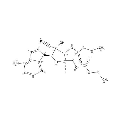 C#C[C@]1(O)[C@H](n2cnc3c(N)ncnc32)O[C@](F)(COC(=O)CCC)[C@H]1OC(=O)CCC